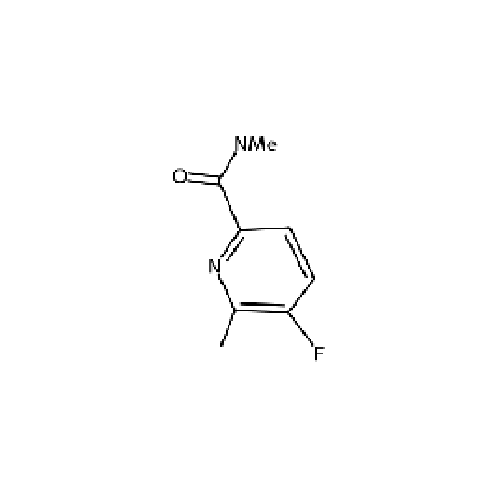 CNC(=O)c1ccc(F)c(C)n1